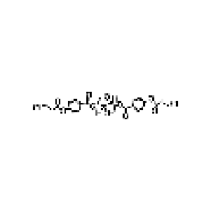 O=C(CCCl)Oc1ccc(C(=O)O[C@H]2CO[C@H]3[C@@H]2OC[C@H]3OC(=O)c2ccc(OC(=O)CCCl)cc2)cc1